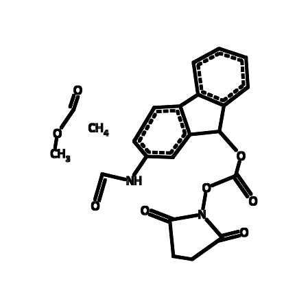 C.COC=O.O=CNc1ccc2c(c1)C(OC(=O)ON1C(=O)CCC1=O)c1ccccc1-2